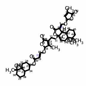 CC1=CC(O/C=C2/C(=O)O[C@]3(CCC4=C(C)C(O/C=C/C(=O)O[C@@H]5CC[C@@H]6C(CCCC6(C)C)C5)OC4=O)CC[C@H]4C(C)(C)CCC[C@]4(C)[C@@H]23)OC1=O